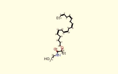 CC/C=C\C/C=C\C/C=C\C/C=C\C/C=C\CCCCOC(CC)C(=O)NCC(=O)O